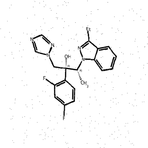 CCc1nn([C@H](C)[C@](O)(Cn2cncn2)c2ccc(F)cc2F)c2ccccc12